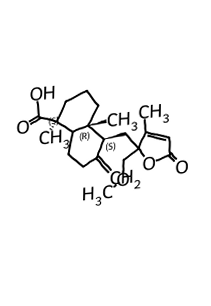 C=C1CCC2[C@](C)(CCC[C@]2(C)C(=O)O)[C@H]1CC1(COC)OC(=O)C=C1C